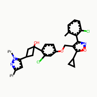 Cc1cccc(Cl)c1-c1noc(C2CC2)c1COc1ccc(C2(O)CC(c3cc(C(C)C)nn3C(C)C)C2)c(Cl)c1